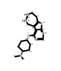 CN(C)[C@H]1CC[C@H](Oc2ncnc3sc4c(c23)CNNCC4)CC1